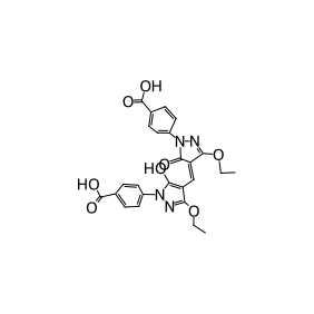 CCOC1=NN(c2ccc(C(=O)O)cc2)C(=O)C1=Cc1c(OCC)nn(-c2ccc(C(=O)O)cc2)c1O